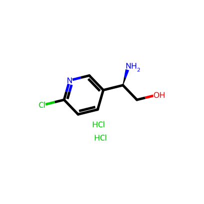 Cl.Cl.N[C@@H](CO)c1ccc(Cl)nc1